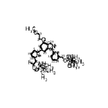 COCCOc1cc(-c2cccc([C@H](N[S@+]([O-])C(C)(C)C)C(C)F)n2)cc2c1cnn2-c1cccc(CO[Si](C)(C)C(C)(C)C)n1